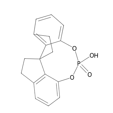 O=P1(O)Oc2cccc3c2C2(CC3)CCc3cccc(c32)O1